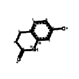 O=C1CCc2ncc(Cl)cc2N1